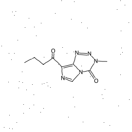 CCCC(=O)c1ncn2c(=O)n(C)nnc12